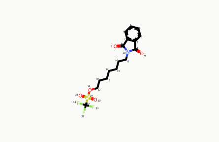 O=C1c2ccccc2C(=O)N1CCCCCCCOS(=O)(=O)C(F)(F)F